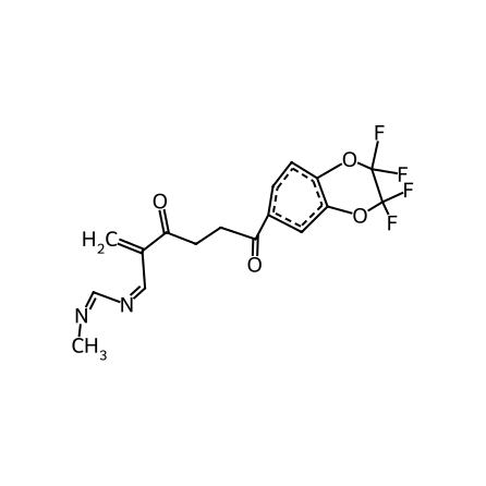 C=C(/C=N\C=N/C)C(=O)CCC(=O)c1ccc2c(c1)OC(F)(F)C(F)(F)O2